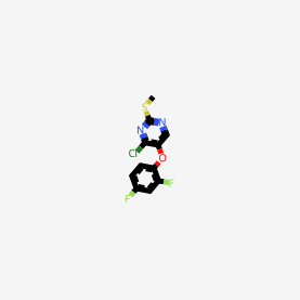 CSc1ncc(Oc2ccc(F)cc2F)c(Cl)n1